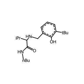 CCCCNC(=O)C(NCc1cccc(C(C)(C)C)c1O)C(C)C